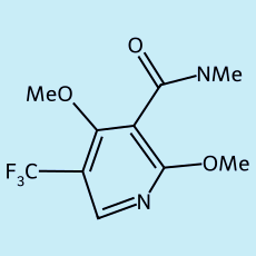 CNC(=O)c1c(OC)ncc(C(F)(F)F)c1OC